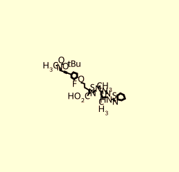 Cc1cc(N(C)c2nc(C(=O)O)c(CCCOc3ccc(C#CCN(C)C(=O)OC(C)(C)C)cc3F)s2)nnc1Nc1nc2ccccc2s1